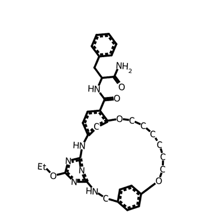 CCOc1nc2nc(n1)Nc1ccc(C(=O)NC(Cc3ccccc3)C(N)=O)c(c1)OCCCCCCOc1ccc(cc1)CN2